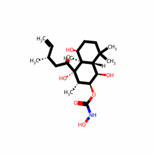 C=C[C@@H](C)CC(=O)[C@]1(O)[C@@H](C)[C@H](OC(=O)NO)[C@H](O)[C@H]2C(C)(C)CC[C@@H](O)[C@@]21C